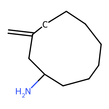 C=C1CCCCCCCC(N)C1